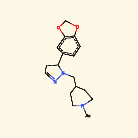 CC(=O)N1CCC(CN2N=CCC2c2ccc3c(c2)OCO3)CC1